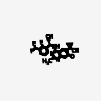 C#C[C@@H](Nc1nc(C)nc2cc(=O)n(C3(C#N)CC3)cc12)c1cccc(C(F)F)c1F